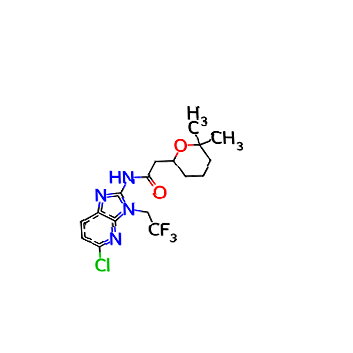 CC1(C)CCCC(CC(=O)Nc2nc3ccc(Cl)nc3n2CC(F)(F)F)O1